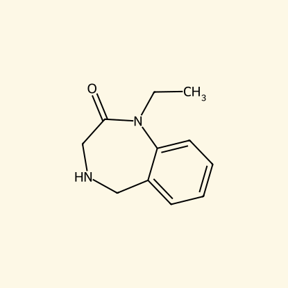 CCN1C(=O)CNCc2ccccc21